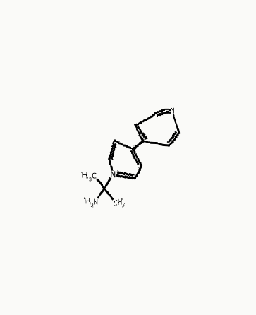 CC(C)(N)[n+]1ccc(-c2ccncc2)cc1